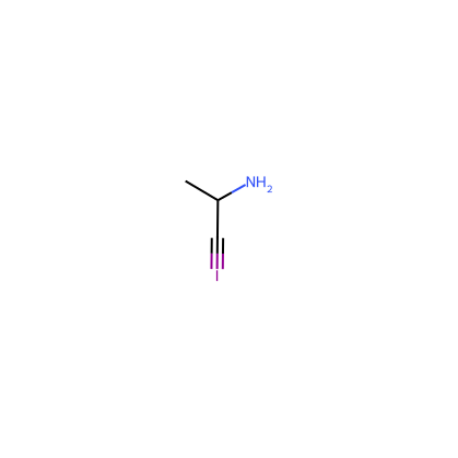 CC(N)C#I